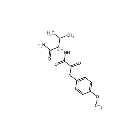 COc1ccc(NC(=O)C(=O)N[C@H](C(N)=O)C(C)C)cc1